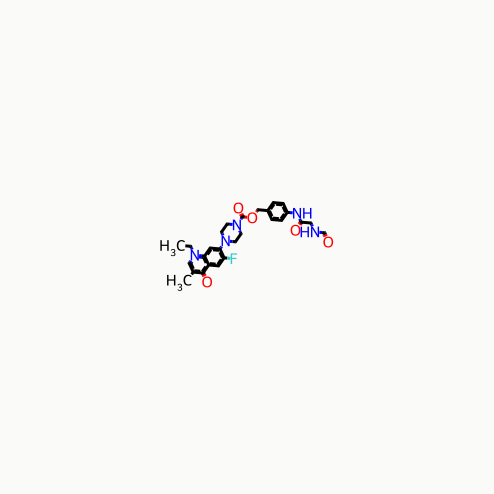 CCn1cc(C)c(=O)c2cc(F)c(N3CCN(C(=O)OCc4ccc(NC(=O)CNC=O)cc4)CC3)cc21